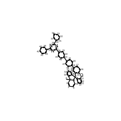 CC12C=CC=CC1C1(c3ccccc3Oc3ccc(-c4ccc(-c5ccc(-c6nc(-c7ccccc7)nc(-c7ccccc7)n6)cc5)cc4)cc31)c1ccccc12